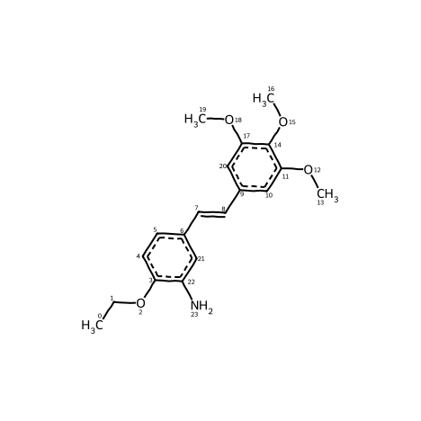 CCOc1ccc(C=Cc2cc(OC)c(OC)c(OC)c2)cc1N